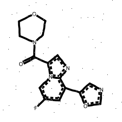 O=C(c1cnc2c(-c3cnco3)cc(F)cn12)N1CCOCC1